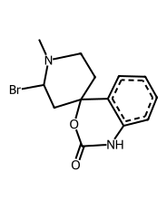 CN1CCC2(CC1Br)OC(=O)Nc1ccccc12